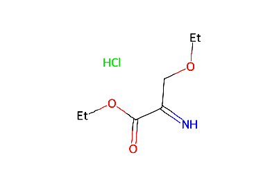 CCOCC(=N)C(=O)OCC.Cl